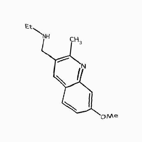 CCNCc1cc2ccc(OC)cc2nc1C